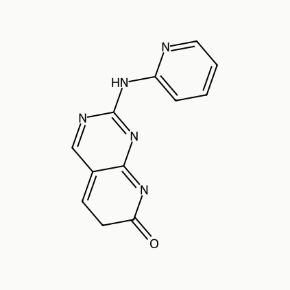 O=C1CC=c2cnc(Nc3ccccn3)nc2=N1